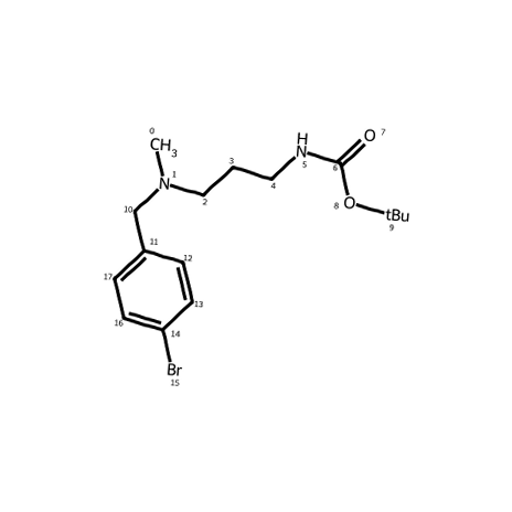 CN(CCCNC(=O)OC(C)(C)C)Cc1ccc(Br)cc1